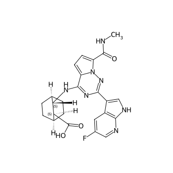 CNC(=O)c1ccc2c(N[C@H]3[C@H]4CC[C@H](CC4)[C@@H]3C(=O)O)nc(-c3c[nH]c4ncc(F)cc34)nn12